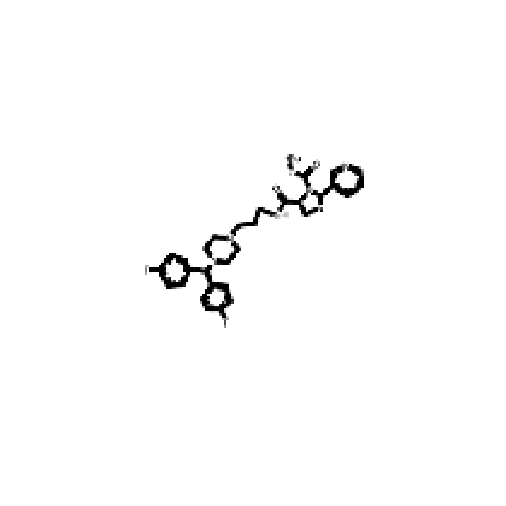 CC(C)(C)OC(=O)N1C(C(=O)NCCCN2CCN(C(c3ccc(F)cc3)c3ccc(F)cc3)CC2)CSC1c1cccnc1